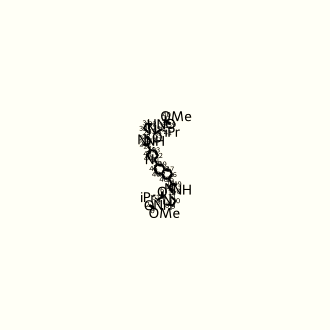 COC(=O)N[C@H](C(=O)N1CCC[C@H]1c1nc(-c2ccc3cc(-c4ccc(-c5cnc([C@@H]6CCCN6C(=O)[C@@H](NC(=O)OC)C(C)C)[nH]5)cn4)ccc3c2)c[nH]1)C(C)C